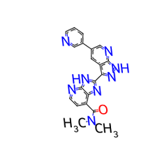 CN(C)C(=O)c1ccnc2[nH]c(-c3n[nH]c4ncc(-c5cccnc5)cc34)nc12